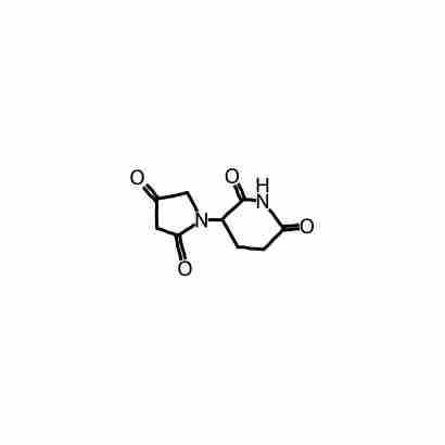 O=C1CC(=O)N(C2CCC(=O)NC2=O)C1